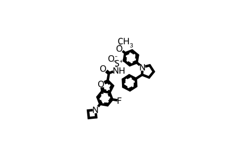 COc1ccc(N2CCCC2c2ccccc2)cc1[S+]([O-])NC(=O)c1cc2c(F)cc(N3CCC3)cc2o1